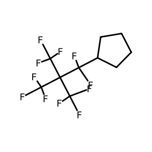 FC(F)(F)C(C(F)(F)F)(C(F)(F)F)C(F)(F)C1CCCC1